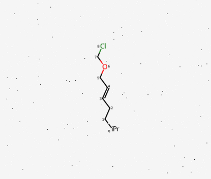 CC(C)CCC=CCOCCl